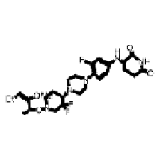 CC/C=C(/OC)C(C)CN1CCC(N2CCN(c3ccc(NC4CCC(=O)NC4=O)cc3F)CC2)C(F)(F)C1